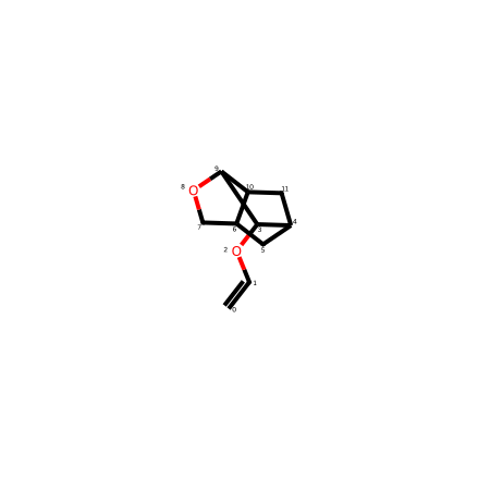 C=COC1C2CC3COC1C3C2